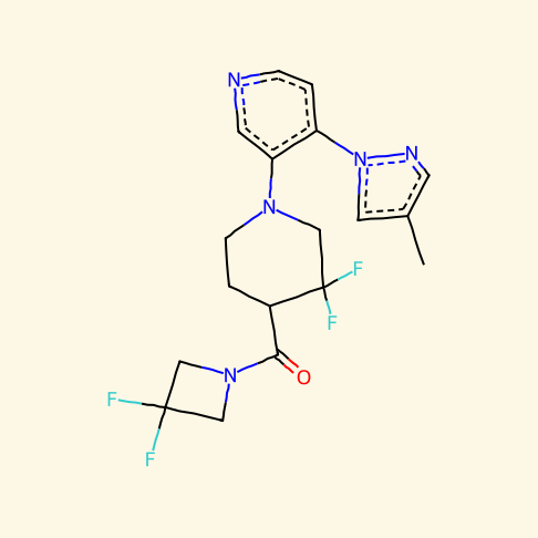 Cc1cnn(-c2ccncc2N2CCC(C(=O)N3CC(F)(F)C3)C(F)(F)C2)c1